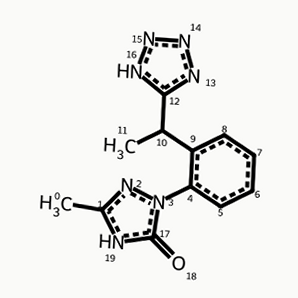 Cc1nn(-c2ccccc2C(C)c2nnn[nH]2)c(=O)[nH]1